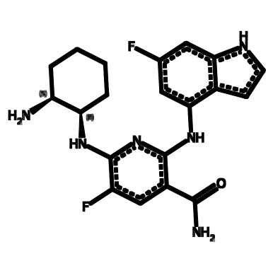 NC(=O)c1cc(F)c(N[C@@H]2CCCC[C@@H]2N)nc1Nc1cc(F)cc2[nH]ccc12